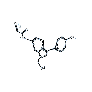 C=CC(=O)Nc1ccc2c(c1)c(CO)cn2-c1ccc(C(F)(F)F)cc1